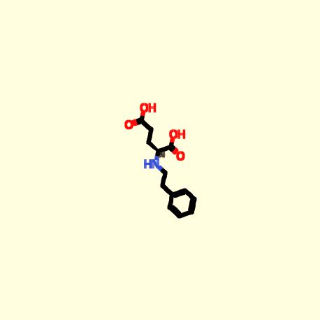 O=C(O)CC[C@H](NCCc1ccccc1)C(=O)O